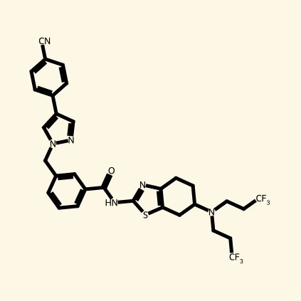 N#Cc1ccc(-c2cnn(Cc3cccc(C(=O)Nc4nc5c(s4)CC(N(CCC(F)(F)F)CCC(F)(F)F)CC5)c3)c2)cc1